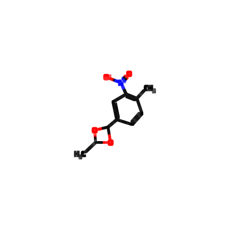 Cc1ccc(C2OC(C)O2)cc1[N+](=O)[O-]